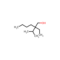 CCCCC(CC)(CO)C(C)C